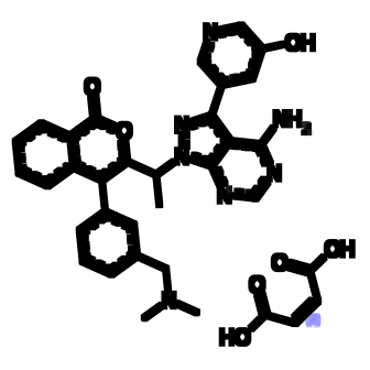 CC(c1oc(=O)c2ccccc2c1-c1cccc(CN(C)C)c1)n1nc(-c2cncc(O)c2)c2c(N)ncnc21.O=C(O)/C=C\C(=O)O